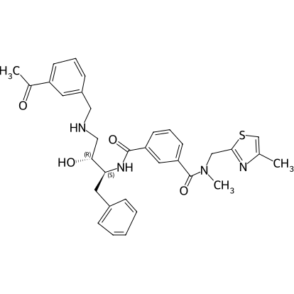 CC(=O)c1cccc(CNC[C@@H](O)[C@H](Cc2ccccc2)NC(=O)c2cccc(C(=O)N(C)Cc3nc(C)cs3)c2)c1